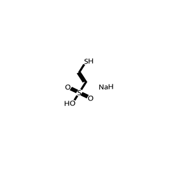 O=S(=O)(O)C=CS.[NaH]